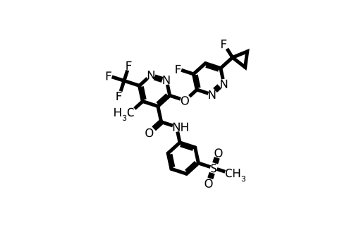 Cc1c(C(F)(F)F)nnc(Oc2nnc(C3(F)CC3)cc2F)c1C(=O)Nc1cccc(S(C)(=O)=O)c1